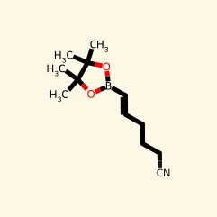 CC1(C)OB(/C=C/CCCC#N)OC1(C)C